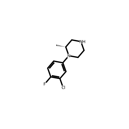 C[C@@H]1CNCCN1c1ccc(F)c(Cl)c1